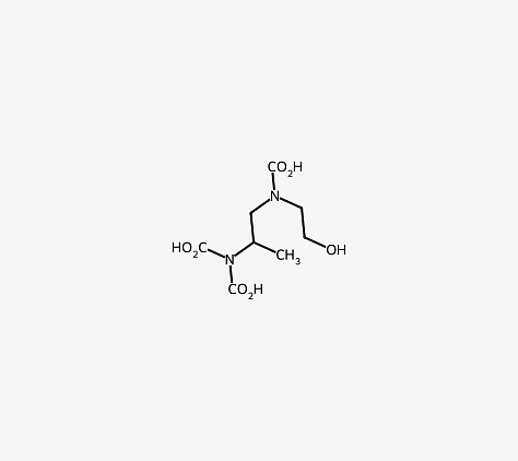 CC(CN(CCO)C(=O)O)N(C(=O)O)C(=O)O